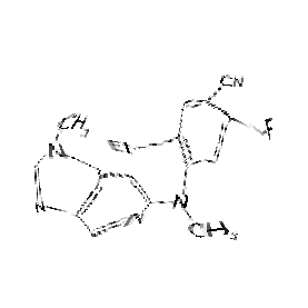 CCc1cc(C#N)c(F)cc1N(C)c1cc2c(cn1)ncn2C